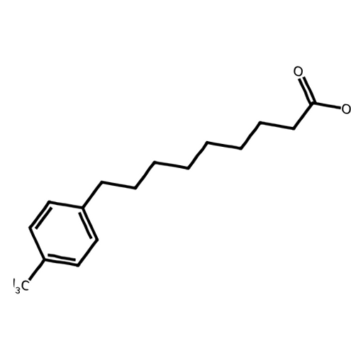 Cc1ccc(CCCCCCCCC(=O)O)cc1